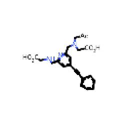 CC(=O)CN(CC(=O)O)Cc1cc(C#Cc2ccccc2)cc(CNCC(=O)O)n1